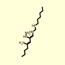 CCCCCCPCN/C=C(/C=C(\N)CCCC)NN